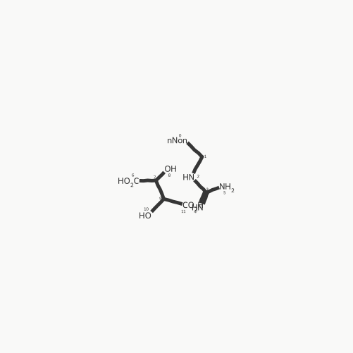 CCCCCCCCCCNC(=N)N.O=C(O)C(O)C(O)C(=O)O